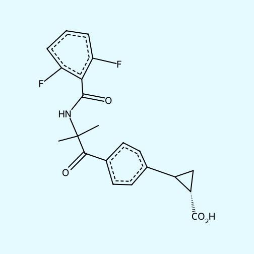 CC(C)(NC(=O)c1c(F)cccc1F)C(=O)c1ccc(C2C[C@@H]2C(=O)O)cc1